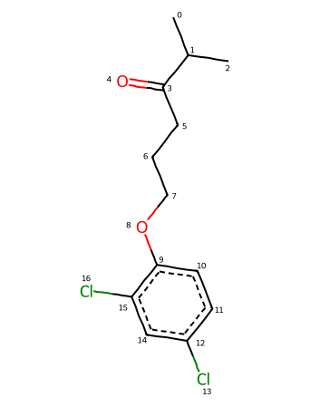 CC(C)C(=O)CCCOc1ccc(Cl)cc1Cl